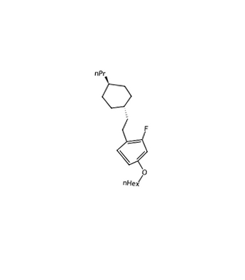 CCCCCCOc1ccc(CC[C@H]2CC[C@H](CCC)CC2)c(F)c1